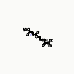 CCN(CC)C(=O)NCCOC(=O)/C=C/C(=O)OC